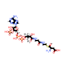 CC(C)(COP(=O)(O)OP(=O)(O)OC[C@H]1O[C@@H](n2cnc3c(N)ncnc32)[C@H](O)[C@@H]1OP(=O)(O)O)[C@@H](O)C(=O)NCCC(=O)NCCSC(=O)[C@@H](N)CC(=O)O